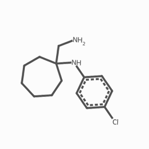 NCC1(Nc2ccc(Cl)cc2)CCCCCC1